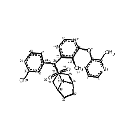 Cc1ncccc1Oc1ncnc(OC2CC3CCC(C2)N3S(=O)(=O)Cc2cccc(Cl)c2)c1C